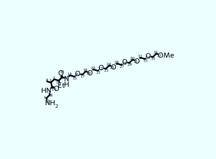 CCC(CC(C)C(=O)NCCN)C(=O)NCCOCCOCCOCCOCCOCCOCCOCCOC